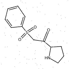 O=C(CS(=O)(=O)c1ccccc1)C1CCCN1